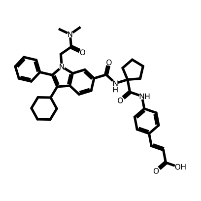 CN(C)C(=O)Cn1c(-c2ccccc2)c(C2CCCCC2)c2ccc(C(=O)NC3(C(=O)Nc4ccc(/C=C/C(=O)O)cc4)CCCC3)cc21